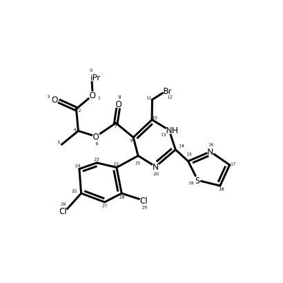 CC(C)OC(=O)C(C)OC(=O)C1=C(CBr)NC(c2nccs2)=NC1c1ccc(Cl)cc1Cl